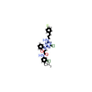 Cc1ccc(NC(=O)C2CN(c3nc(Cl)nc(NCCCc4ccc(F)cc4)n3)c3ccccc3O2)cc1Cl